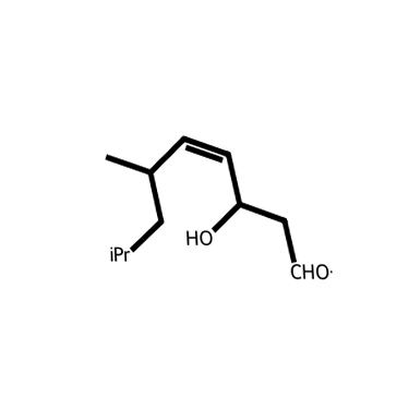 CC(C)CC(C)/C=C\C(O)C[C]=O